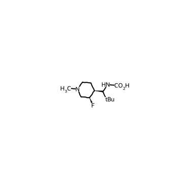 CN1CC[C@@H](C(NC(=O)O)C(C)(C)C)[C@@H](F)C1